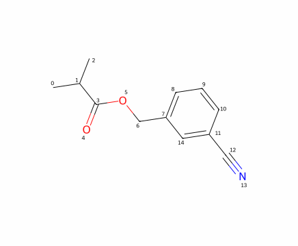 CC(C)C(=O)OCc1cccc(C#N)c1